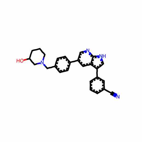 N#Cc1cccc(-c2c[nH]c3ncc(-c4ccc(CN5CCCC(O)C5)cc4)cc23)c1